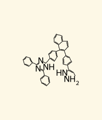 C/C=C(\NN)c1ccc(-c2ccc3ccccc3c2-c2ccc(C3N=C(c4ccccc4)N=C(c4ccccc4)N3)cc2)cc1